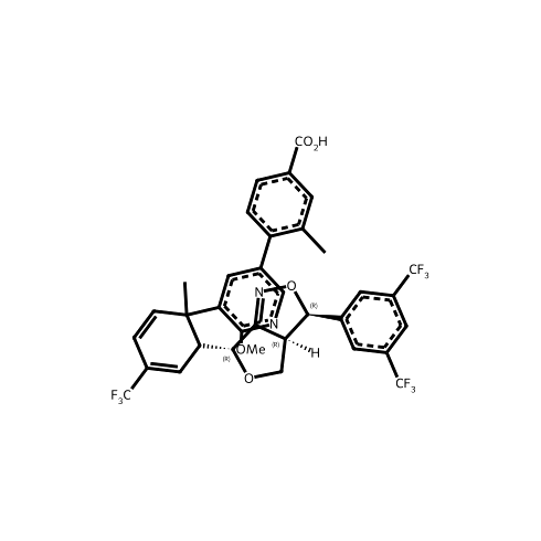 COc1ncc(-c2ccc(C(=O)O)cc2C)cc1C1(C)C=CC(C(F)(F)F)=CC1[C@H]1OC[C@H]2C1=NO[C@H]2c1cc(C(F)(F)F)cc(C(F)(F)F)c1